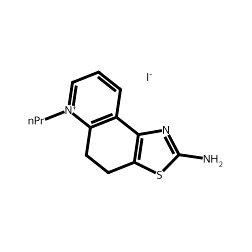 CCC[n+]1cccc2c1CCc1sc(N)nc1-2.[I-]